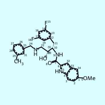 COc1ccc2[nH]c(C(=O)N[C@@H](Cc3cc(F)cc(F)c3)[C@H](O)CNCc3cccc(C)c3)cc2c1